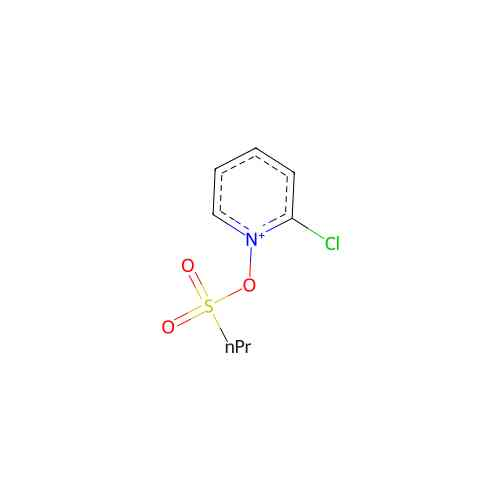 CCCS(=O)(=O)O[n+]1ccccc1Cl